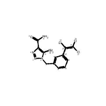 NC(=O)c1nnn(Cc2cccc(C(Cl)=C(Cl)Cl)c2)c1N